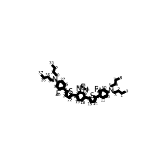 CCCCN(CCCC)c1ccc(-c2ccc(-c3ccc(-c4ccc(-c5ccc(N(CCCC)CCCC)cc5F)s4)c4nsnc34)s2)c(F)c1